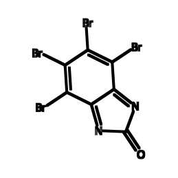 O=C1N=c2c(Br)c(Br)c(Br)c(Br)c2=N1